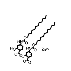 CCCCCCCCCCCCOC(=O)Nc1ccc(C(=O)[O-])c(O)c1.CCCCCCCCCCCCOC(=O)Nc1ccc(C(=O)[O-])c(O)c1.[Zn+2]